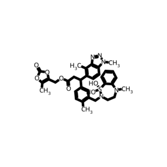 Cc1ccc(C(CC(=O)OCc2oc(=O)oc2C)c2ccc3c(nnn3C)c2C)cc1CN1CCN(C)c2ccccc2S1(O)O